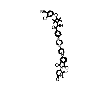 CN1C(=O)CCC(N2C(=O)c3ccc(N4CCC(N5CCN(c6ccc(C(=O)N[C@H]7C(C)(C)[C@H](Oc8ccc(C#N)c(Cl)c8)C7(C)C)cc6)CC5)CC4)cc3C2=O)C1=O